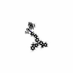 CCO[Si](CNC(=O)/C(C#N)=C/c1ccc(-c2ccc(-c3ccc(N(c4ccc5c(c4)C(C)(C)c4ccccc4-5)c4ccc5c(c4)C(C)(C)c4ccccc4-5)cc3)s2)s1)(OCC)OCC